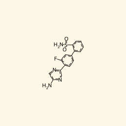 Nc1cnc(-c2ccc(-c3ccccc3S(N)(=O)=O)cc2F)cn1